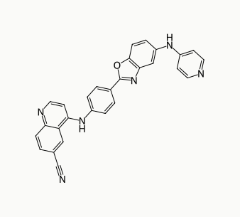 N#Cc1ccc2nccc(Nc3ccc(-c4nc5cc(Nc6ccncc6)ccc5o4)cc3)c2c1